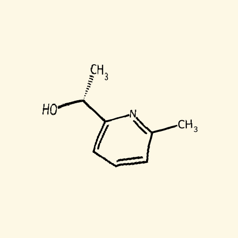 Cc1cccc([C@@H](C)O)n1